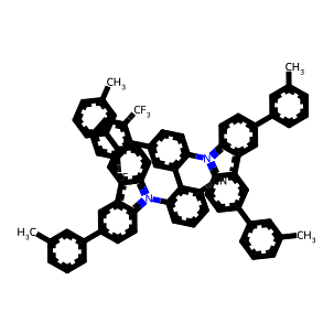 Cc1cccc(-c2ccc3c(c2)c2cc(-c4cccc(C)c4)ccc2n3-c2ccc(-c3c(C(F)(F)F)cccc3C(F)(F)F)cc2-c2c(C#N)cccc2-n2c3ccc(-c4cccc(C)c4)cc3c3cc(-c4cccc(C)c4)ccc32)c1